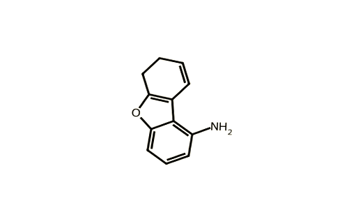 Nc1cccc2oc3c(c12)C=CCC3